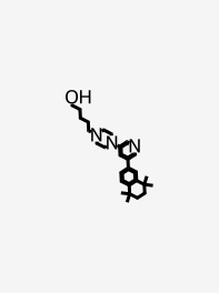 CC1(C)CCC(C)(C)c2cc(-c3cncc(N4CCN(CCCCCO)CC4)c3)ccc21